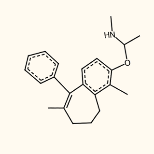 CNC(C)Oc1ccc2c(c1C)CCCC(C)=C2c1ccccc1